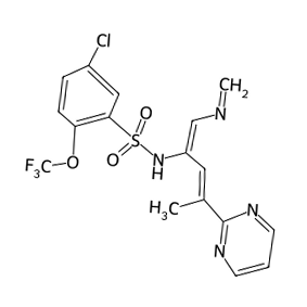 C=N/C=C(\C=C(/C)c1ncccn1)NS(=O)(=O)c1cc(Cl)ccc1OC(F)(F)F